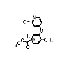 COC(=O)[C@@]1(I)C=C(Oc2ccnc(Cl)c2)C(C)=CC1